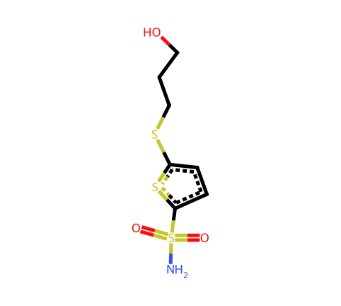 NS(=O)(=O)c1ccc(SCCCO)s1